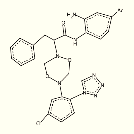 CC(=O)c1ccc(NC(=O)C(Cc2ccccc2)N2CON(c3cc(Cl)ccc3-n3cnnn3)CO2)c(N)c1